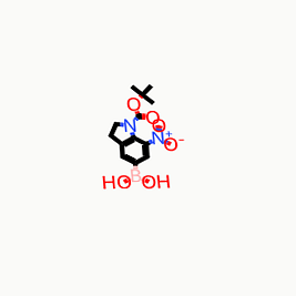 CC(C)(C)OC(=O)N1CCc2cc(B(O)O)cc([N+](=O)[O-])c21